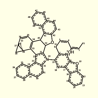 C/C=C(O)\C=C/Cc1nc2oc3ccccc3c2nc1-n1c2c(c3c4ccccc4ccc31)C1=C(C=CC3C[C@H]13)C1c3c(ccc4ccccc34)OC21